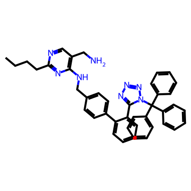 CCCCc1ncc(CN)c(NCc2ccc(-c3ccccc3-c3nnnn3C(c3ccccc3)(c3ccccc3)c3ccccc3)cc2)n1